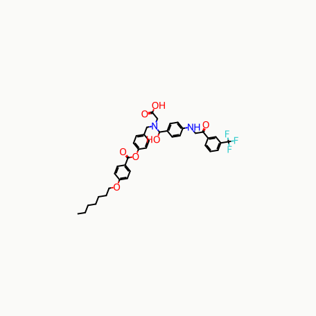 CCCCCCCOc1ccc(C(=O)Oc2ccc(CN(CC(=O)O)C(O)c3ccc(NCC(=O)c4cccc(C(F)(F)F)c4)cc3)cc2)cc1